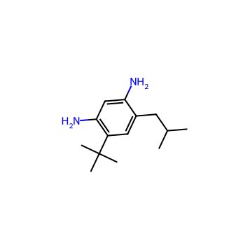 CC(C)Cc1cc(C(C)(C)C)c(N)cc1N